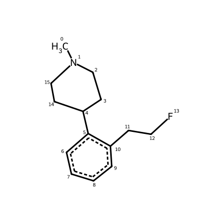 CN1CCC(c2ccccc2CCF)CC1